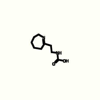 O=C(O)NCCC1=NCCCCC1